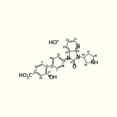 Cl.O=C(O)c1ccc(-c2ccc(-n3c(=O)n(C4CCNC4)c4ncccc43)cc2)c(O)c1